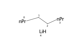 CCCCCCCC.[LiH]